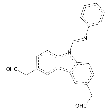 O=CCc1ccc2c(c1)c1cc(CC=O)ccc1n2C=Nc1ccccc1